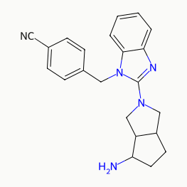 N#Cc1ccc(Cn2c(N3CC4CCC(N)C4C3)nc3ccccc32)cc1